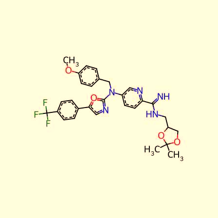 COc1ccc(CN(c2ccc(C(=N)NCC3COC(C)(C)O3)nc2)c2ncc(-c3ccc(C(F)(F)F)cc3)o2)cc1